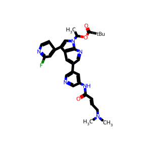 CC(OC(=O)C(C)(C)C)n1cc(-c2ccnc(F)c2)c2cc(-c3cncc(NC(=O)/C=C/CN(C)C)c3)cnc21